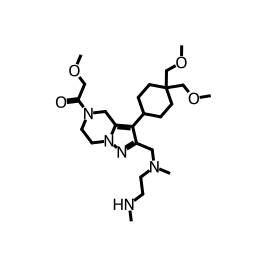 CNCCN(C)Cc1nn2c(c1C1CCC(COC)(COC)CC1)CN(C(=O)COC)CC2